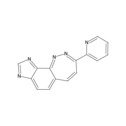 c1ccc(-c2ccc3ccc4ncnc4c3nn2)nc1